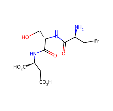 CC(C)C[C@H](N)C(=O)N[C@@H](CO)C(=O)N[C@@H](CC(=O)O)C(=O)O